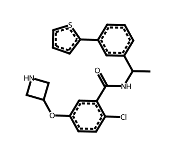 CC(NC(=O)c1cc(OC2CNC2)ccc1Cl)c1cccc(-c2cccs2)c1